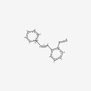 C=Cc1ccccc1/C=C/[n+]1ccccc1